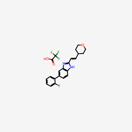 Fc1ccccc1-c1ccc2[nH]c(/C=C/C3CCOCC3)nc2c1.O=C(O)C(F)(F)F